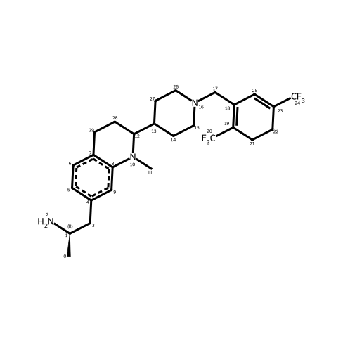 C[C@@H](N)Cc1ccc2c(c1)N(C)C(C1CCN(CC3=C(C(F)(F)F)CCC(C(F)(F)F)=C3)CC1)CC2